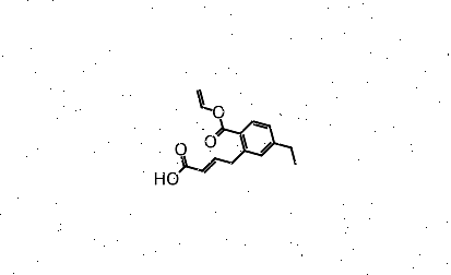 C=COC(=O)c1ccc(CC)cc1C/C=C/C(=O)O